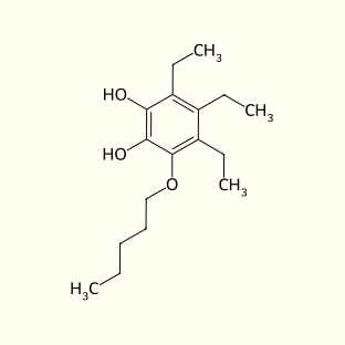 CCCCCOc1c(O)c(O)c(CC)c(CC)c1CC